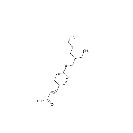 CCCCC(CC)COc1ccc(/C=C/C(=O)O)cc1